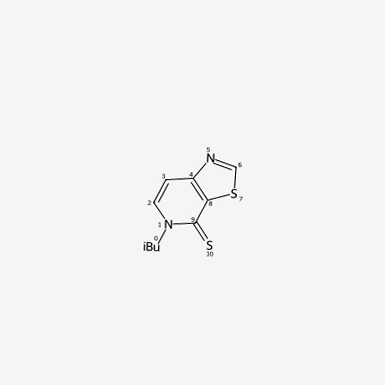 CCC(C)n1ccc2ncsc2c1=S